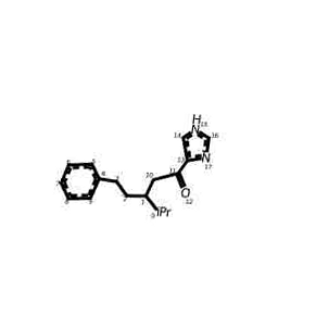 CC(C)C([CH]Cc1ccccc1)CC(=O)c1c[nH]cn1